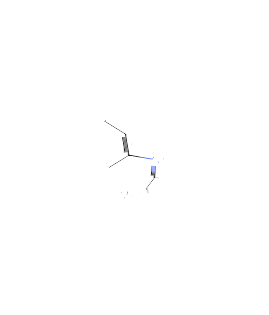 C/C=C(C)/N=C\SC